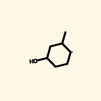 CC1[CH]CCC(O)C1